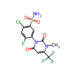 Cn1c(C(F)(F)F)cc(=O)n(-c2cc(S(N)(=O)=O)c(Cl)cc2F)c1=O